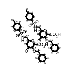 Cc1ccc(S(=O)(=O)NCc2cc(=O)c(OCc3ccccc3)c(C(=O)O)o2)cc1.Cc1ccc(S(=O)(=O)NCc2cc(=O)c(OCc3ccccc3)c(C(=O)O)o2)cc1